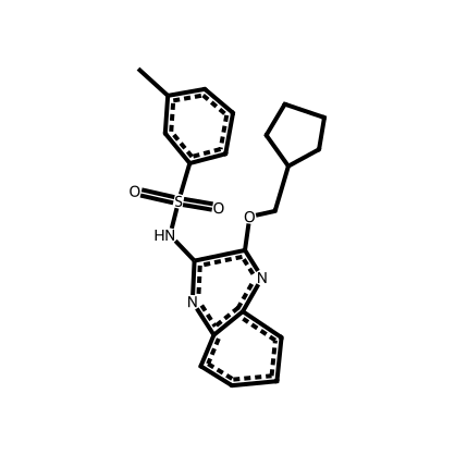 Cc1cccc(S(=O)(=O)Nc2nc3ccccc3nc2OCC2CCCC2)c1